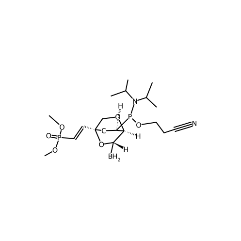 B[C@@H]1O[C@@]2(/C=C/P(=O)(OC)OC)CO[C@@H]1[C@H](P(OCCC#N)N(C(C)C)C(C)C)C2